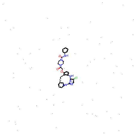 O=C(COc1ccc2cc1CCc1cccc(c1)Nc1ncc(Cl)c(n1)N2)N1CCN(C(=O)Nc2ccccc2)CC1